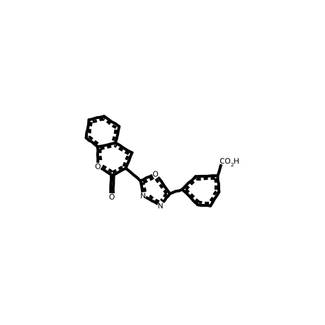 O=C(O)c1cccc(-c2nnc(-c3cc4ccccc4oc3=O)o2)c1